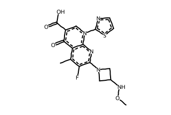 CONC1CN(c2nc3c(c(C)c2F)c(=O)c(C(=O)O)cn3-c2nccs2)C1